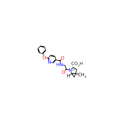 C[C@@]12C[C@@H]1N(C(=O)CNC(=O)c1ccc(Oc3ccccc3)nc1)[C@H](C(=O)O)C2